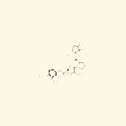 CC[C@@H]1CCC(C)(OC(=O)C2CCCN2C(=O)C(NC(=O)C(O)Cc2ccc(O)c(O)c2)C(C)(C)C)C1(C)C